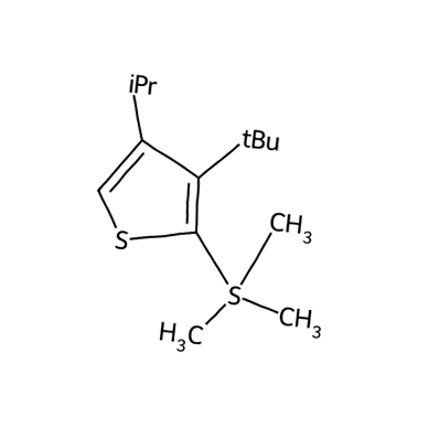 CC(C)c1csc(S(C)(C)C)c1C(C)(C)C